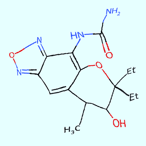 CCC1(CC)Oc2c(cc3nonc3c2NC(N)=O)C(C)C1O